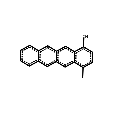 Cc1ccc(C#N)c2cc3cc4ccccc4cc3cc12